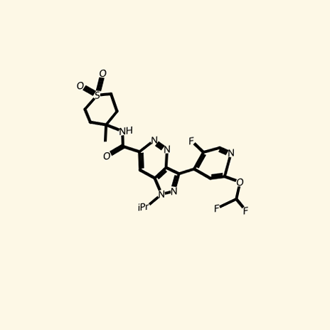 CC(C)n1nc(-c2cc(OC(F)F)ncc2F)c2nnc(C(=O)NC3(C)CCS(=O)(=O)CC3)cc21